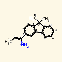 C/C=C(\N)c1ccc2c(c1)-c1ccccc1C2(C)C